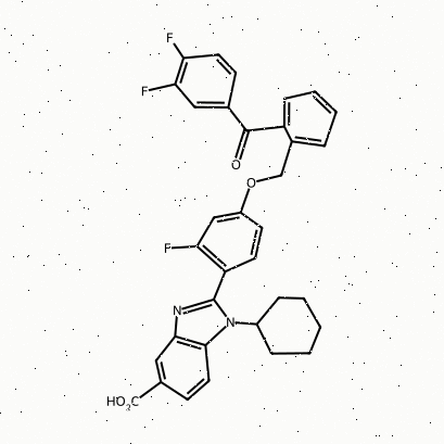 O=C(O)c1ccc2c(c1)nc(-c1ccc(OCc3ccccc3C(=O)c3ccc(F)c(F)c3)cc1F)n2C1CCCCC1